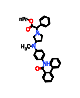 CCCOC(=O)C(c1ccccc1)N1CCC(N(C)c2ccc(NC(=O)c3ccccc3-c3ccccc3)cc2)C1